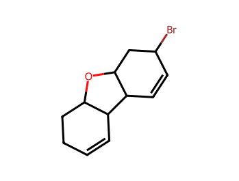 BrC1C=CC2C(C1)OC1CCC=CC12